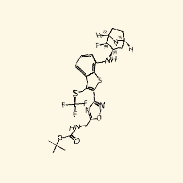 CN1[C@@H]2CC[C@H]1[C@H](F)[C@H](Nc1cccc3c(SC(F)(F)F)c(-c4noc(CNC(=O)OC(C)(C)C)n4)sc13)C2